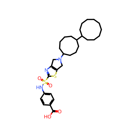 O=C(O)c1ccc(NS(=O)(=O)c2nc3c(s2)CN(C2CCCCC(C4CCCCCCCCC4)CCC2)C3)cc1